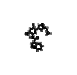 O=C(Nc1cc(-c2cnn(CC3CC3)c2)c(F)cc1Cl)c1cnn2ccccc12